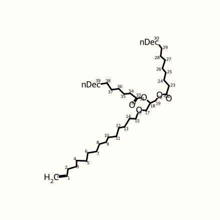 C=CCCCCCCCCCCCCCCOCC(COC(=O)CCCCCCCCCCCCCCCCC)OC(=O)CCCCCCCCCCCCCCC